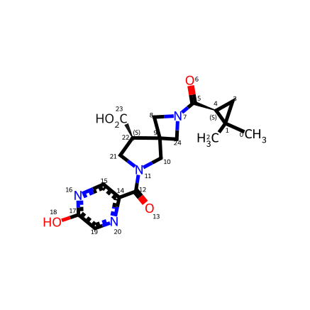 CC1(C)C[C@@H]1C(=O)N1CC2(CN(C(=O)c3cnc(O)cn3)C[C@H]2C(=O)O)C1